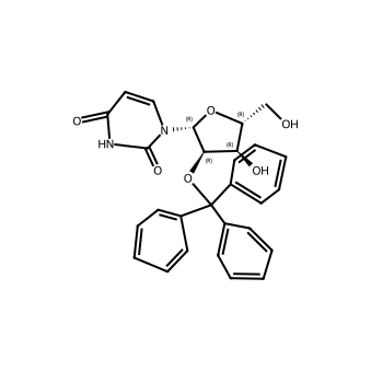 O=c1ccn([C@@H]2O[C@H](CO)[C@@H](O)[C@H]2OC(c2ccccc2)(c2ccccc2)c2ccccc2)c(=O)[nH]1